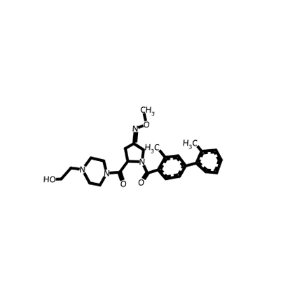 CON=C1CC(C(=O)N2CCN(CCO)CC2)N(C(=O)c2ccc(-c3ccccc3C)cc2C)C1